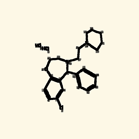 Cl.Cl.Clc1ccc2c(c1)C(c1ccccc1)N(CCN1CCCCC1)CCO2